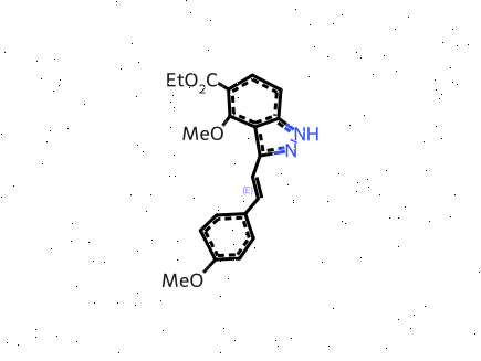 CCOC(=O)c1ccc2[nH]nc(/C=C/c3ccc(OC)cc3)c2c1OC